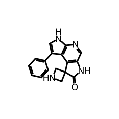 O=C1Nc2cnc3[nH]cc(-c4ccccc4)c3c2C12CNC2